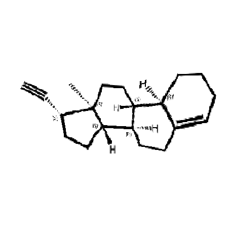 C#C[C@H]1CC[C@H]2[C@@H]3CCC4=CCCC[C@@H]4[C@H]3CC[C@]12C